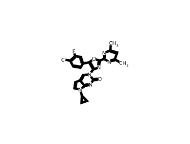 Cc1cc(C)nc(-c2nc(-n3cc4ccn(C5CC5)c4nc3=O)c(-c3ccc(Cl)c(F)c3)o2)n1